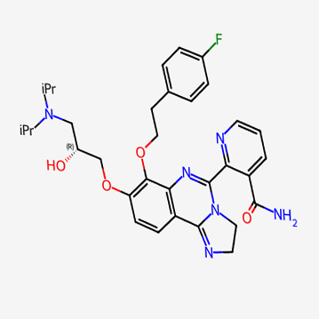 CC(C)N(C[C@@H](O)COc1ccc2c(c1OCCc1ccc(F)cc1)N=C(c1ncccc1C(N)=O)N1CCN=C21)C(C)C